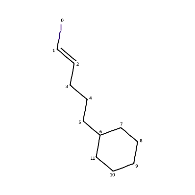 I/C=C/CCCC1CCCCC1